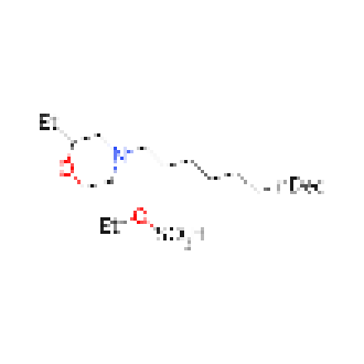 CCCCCCCCCCCCCCCCN1CCOC(CC)C1.CCOS(=O)(=O)O